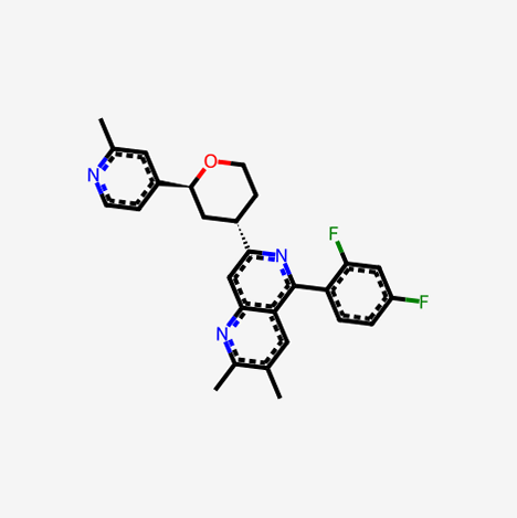 Cc1cc([C@@H]2C[C@@H](c3cc4nc(C)c(C)cc4c(-c4ccc(F)cc4F)n3)CCO2)ccn1